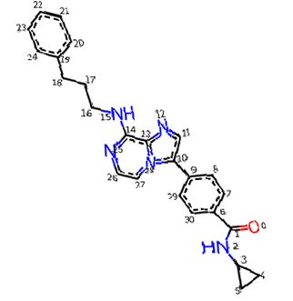 O=C(NC1CC1)c1ccc(-c2cnc3c(NCCCc4ccccc4)nccn23)cc1